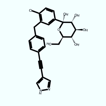 OC[C@H]1O[C@@](O)(c2ccc(Cl)c(Cc3ccc(C#Cc4cn[nH]c4)cc3)c2)[C@H](O)[C@@H](O)[C@@H]1O